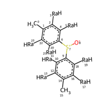 Cc1[c]([RaH])[c]([RaH])c([S+]([O-])c2[c]([RaH])[c]([RaH])c(C)[c]([RaH])[c]2[RaH])[c]([RaH])[c]1[RaH]